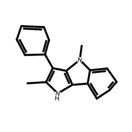 Cc1[nH]c2c3ccccc3n(C)c2c1-c1ccccc1